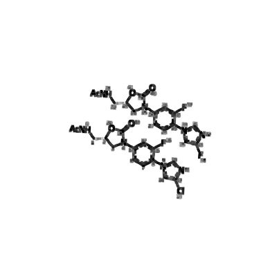 CC(=O)NC[C@H]1CN(c2ccc(-n3cnc(Cl)c3)c(F)c2)C(=O)O1.CC(=O)NC[C@H]1CN(c2ccc(-n3cnc(F)c3)c(F)c2)C(=O)O1